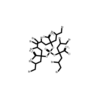 C=C(Cl)C(CC(Br)CBr)(CC(Br)CBr)OP(=O)(OC(CC(Br)CBr)(CC(Br)CBr)C(=C)Cl)OC(CC(Br)CBr)(CC(Br)CBr)C(=C)Cl